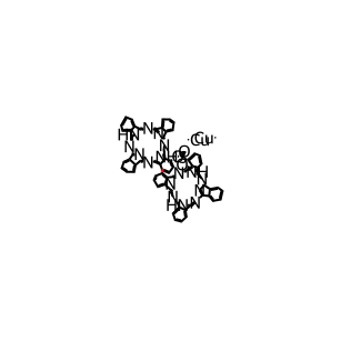 O=S(=O)(Oc1cccc2c3nc4nc(nc5[nH]c(nc6nc(nc([nH]3)c12)-c1ccccc1-6)c1ccccc51)-c1ccccc1-4)c1cccc2c3nc4nc(nc5[nH]c(nc6nc(nc([nH]3)c12)-c1ccccc1-6)c1ccccc51)-c1ccccc1-4.[Cu].[Cu]